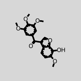 COc1cc(C(=O)c2coc3c(O)c(OC)ccc23)cc(OC)c1OC